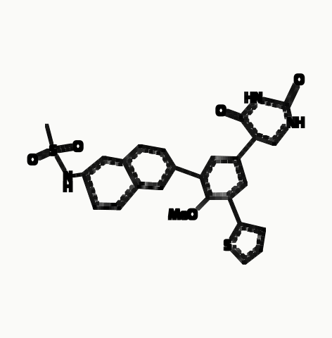 COc1c(-c2ccc3cc(NS(C)(=O)=O)ccc3c2)cc(-c2c[nH]c(=O)[nH]c2=O)cc1-c1cccs1